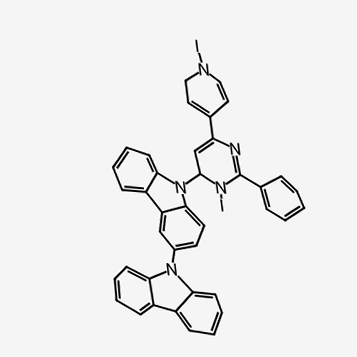 IN1C=CC(C2=CC(n3c4ccccc4c4cc(-n5c6ccccc6c6ccccc65)ccc43)N(I)C(c3ccccc3)=N2)=CC1